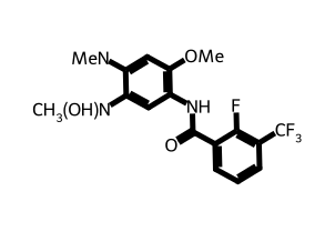 CNc1cc(OC)c(NC(=O)c2cccc(C(F)(F)F)c2F)cc1N(C)O